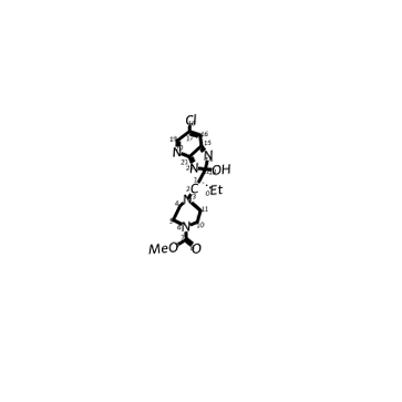 CC[C@H](CN1CCN(C(=O)OC)CC1)C1(O)N=c2cc(Cl)cnc2=N1